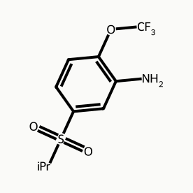 CC(C)S(=O)(=O)c1ccc(OC(F)(F)F)c(N)c1